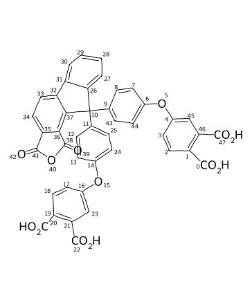 O=C(O)c1ccc(Oc2ccc(C3(c4ccc(Oc5ccc(C(=O)O)c(C(=O)O)c5)cc4)c4ccccc4-c4ccc5c(c43)C(=O)OC5=O)cc2)cc1C(=O)O